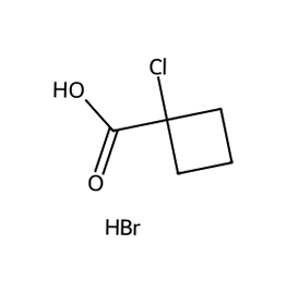 Br.O=C(O)C1(Cl)CCC1